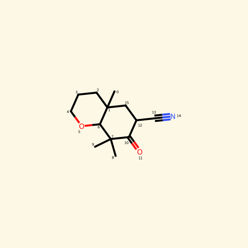 CC12CCCOC1C(C)(C)C(=O)C(C#N)C2